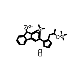 CC(CC1=C(c2cc3c(c4c2[Si]4(C)C)[CH]([Zr+2])c2ccccc2-3)CC=C1)O[Si](C)(C)C.[Cl-].[Cl-]